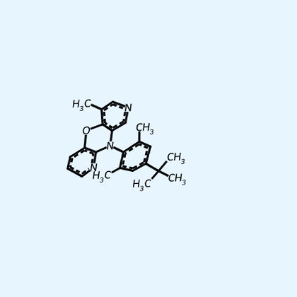 Cc1cncc2c1Oc1cccnc1N2c1c(C)cc(C(C)(C)C)cc1C